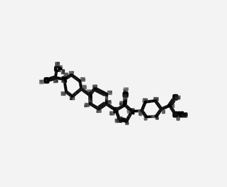 COC(=O)C1CCC(n2cnn(-c3ccc(C4CCN(C(=O)C(F)(F)F)CC4)cc3)c2=O)CC1